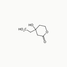 O=C(O)CC1(O)CCOC(=O)C1